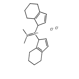 C[Si](C)=[Zr+2]([CH]1C=CC2=C1CCCC2)[CH]1C=CC2=C1CCCC2.[Cl-].[Cl-]